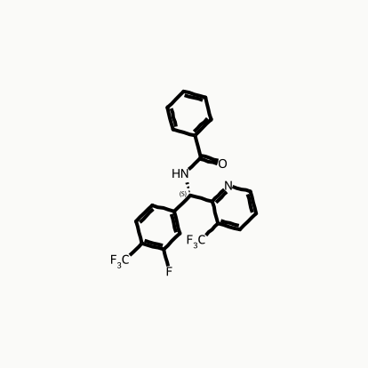 O=C(N[C@@H](c1ccc(C(F)(F)F)c(F)c1)c1ncccc1C(F)(F)F)c1ccccc1